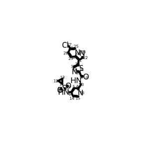 O=C(NCc1cc(NS(=O)(=O)C2CC2)ccn1)c1ncc(-c2cnn3cc(Cl)ccc23)s1